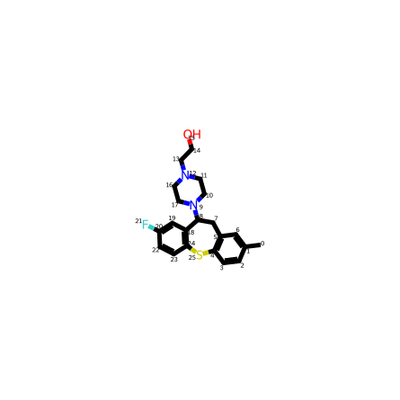 Cc1ccc2c(c1)CC(N1CCN(CCO)CC1)c1cc(F)ccc1S2